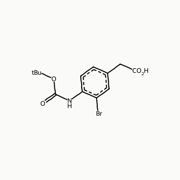 CC(C)(C)OC(=O)Nc1ccc(CC(=O)O)cc1Br